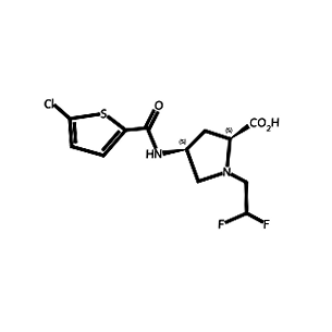 O=C(N[C@H]1C[C@@H](C(=O)O)N(CC(F)F)C1)c1ccc(Cl)s1